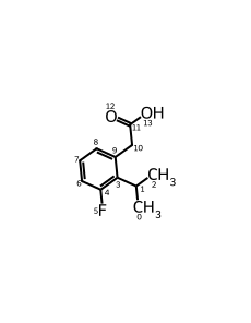 CC(C)c1c(F)cccc1CC(=O)O